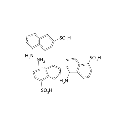 Nc1ccc(S(=O)(=O)O)c2ccccc12.Nc1cccc2c(S(=O)(=O)O)cccc12.Nc1cccc2cc(S(=O)(=O)O)ccc12